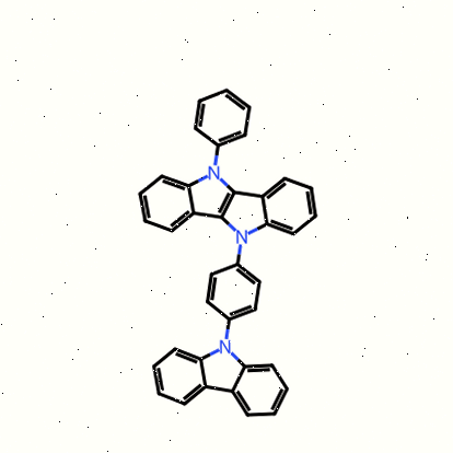 c1ccc(-n2c3ccccc3c3c2c2ccccc2n3-c2ccc(-n3c4ccccc4c4ccccc43)cc2)cc1